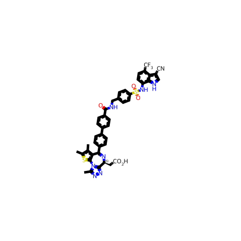 Cc1sc2c(c1C)C(c1ccc(-c3ccc(C(=O)NCc4ccc(S(=O)(=O)Nc5ccc(C(F)(F)F)c6c(C#N)c[nH]c56)cc4)cc3)cc1)=N[C@@H](CC(=O)O)c1nnc(C)n1-2